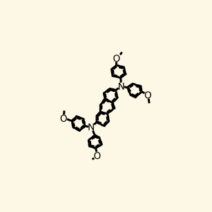 COc1ccc(N(c2ccc(OC)cc2)c2ccc3cc4cc(N(c5ccc(OC)cc5)c5ccc(OC)cc5)ccc4cc3c2)cc1